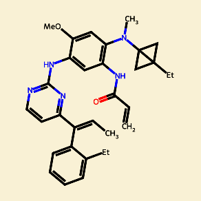 C=CC(=O)Nc1cc(Nc2nccc(/C(=C/C)c3ccccc3CC)n2)c(OC)cc1N(C)C12CC1(CC)C2